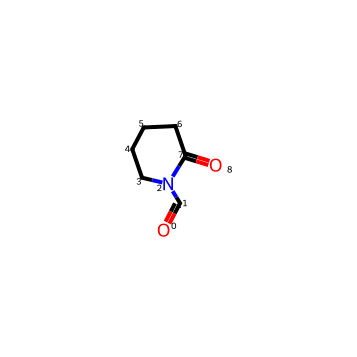 O=[C]N1CCCCC1=O